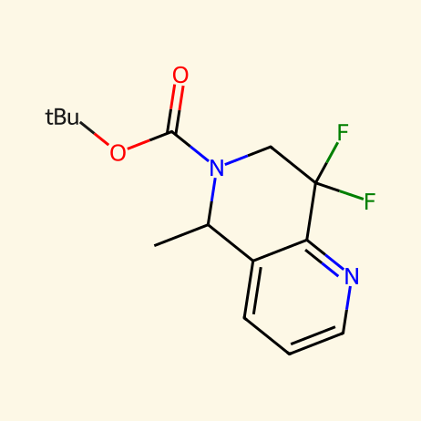 CC1c2cccnc2C(F)(F)CN1C(=O)OC(C)(C)C